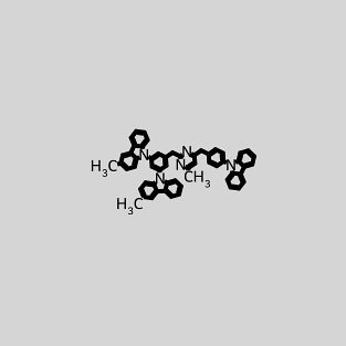 Cc1ccc2c(c1)c1ccccc1n2-c1cc(Cc2nc(C)cc(Cc3ccc(-n4c5ccccc5c5ccccc54)cc3)n2)cc(-n2c3ccccc3c3cc(C)ccc32)c1